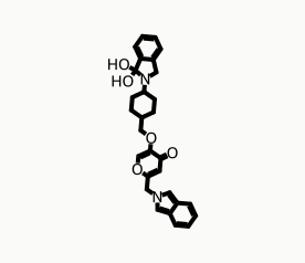 O=c1cc(Cn2cc3ccccc3c2)occ1OCC1CCC(N2Cc3ccccc3C2(O)O)CC1